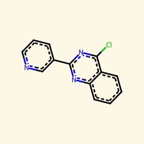 Clc1nc(-c2cccnc2)nc2ccccc12